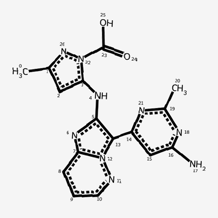 Cc1cc(Nc2nc3cccnn3c2-c2cc(N)nc(C)n2)n(C(=O)O)n1